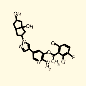 C[C@@H](Oc1cc(-c2cnn(C3CC4CC(O)CC4(O)C3)c2)cnc1N)c1c(Cl)ccc(F)c1Cl